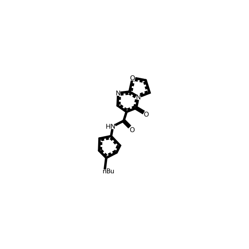 CCCCc1ccc(NC(=O)c2cnc3occn3c2=O)cc1